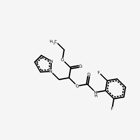 CCOC(=O)C(Cn1cccn1)OC(=O)Nc1c(F)cccc1F